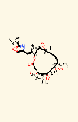 CC(=Cc1coc(C)n1)[C@@H]1C[C@]2(C)O[C@H]2CCC[C@H](C)[C@H](O)[C@@H](C)C(=O)C(C)(C)[C@@H](O)CC(=O)O1